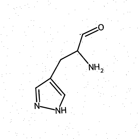 NC([C]=O)Cc1cn[nH]c1